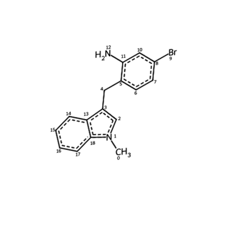 Cn1cc(Cc2ccc(Br)cc2N)c2ccccc21